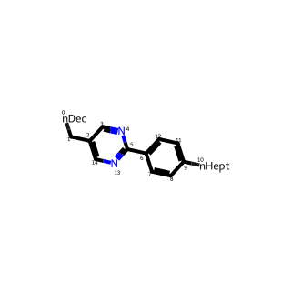 CCCCCCCCCCCc1cnc(-c2ccc(CCCCCCC)cc2)nc1